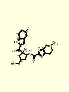 CN1CCc2nc(C(=O)NC3CC(CO)CC3(N)C(=O)c3cc4cc(Cl)ccc4[nH]3)sc2C1